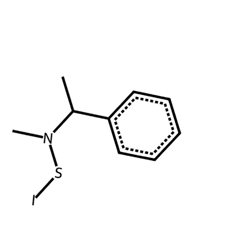 CC(c1ccccc1)N(C)SI